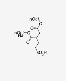 CCCCCCCCOC(=O)CC(CCS(=O)(=O)O)C(=O)OCCCCCCCC.[Na]